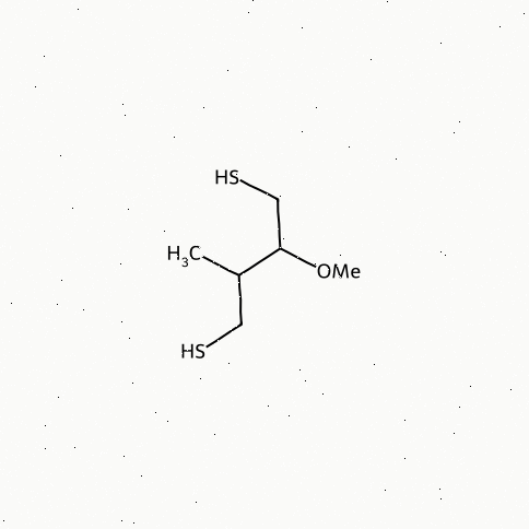 COC(CS)C(C)CS